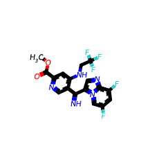 COC(=O)c1cc(NCC(F)(F)F)c(C(=N)c2cnc3c(F)cc(F)cn23)cn1